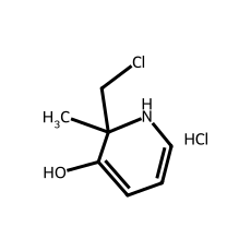 CC1(CCl)NC=CC=C1O.Cl